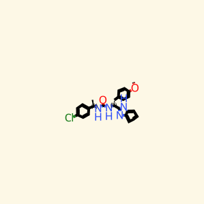 COc1ccc(C[C@@H](NC(=O)N[C@H](C)c2ccc(Cl)cc2)c2nc3ccccc3[nH]2)cc1